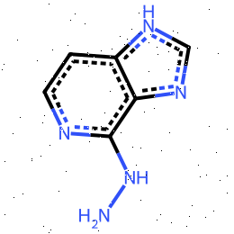 NNc1nccc2[nH]cnc12